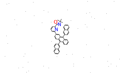 CC1(C)COC(c2cccc(-c3ccc4c(-c5ccc6ccccc6c5)c5ccccc5c(-c5ccc6ccccc6c5)c4c3)n2)=N1